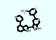 Nc1cncc(-c2cc3c(-c4cc5c(-c6cccnc6)cccc5[nH]4)n[nH]c3cn2)c1